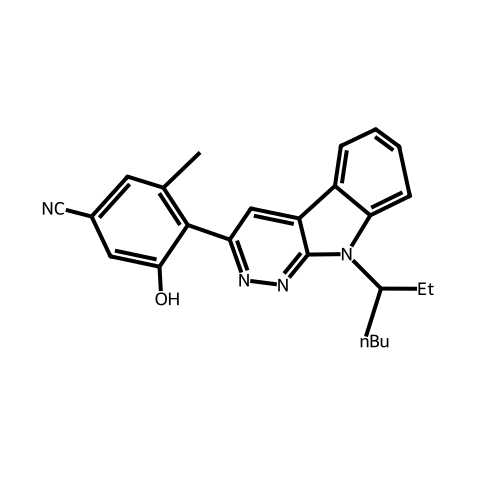 CCCCC(CC)n1c2ccccc2c2cc(-c3c(C)cc(C#N)cc3O)nnc21